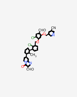 Cc1c(-c2ccn3c(=O)c(C=O)cnc3c2)cccc1-c1cccc(COc2cc(OCc3cncc(C#N)c3)c(C=O)cc2Cl)c1Cl